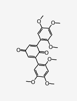 COc1cc(OC)c(C2=CC(=O)C=C(c3cc(OC)c(OC)cc3OC)C2=O)cc1OC